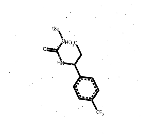 CC(C)(C)OC(=O)NC(CC(=O)O)c1ccc(C(F)(F)F)cc1